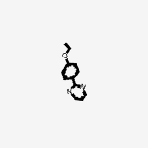 CCOc1ccc(-c2ncccn2)cc1